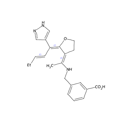 CC/C=C/C(=C1/OCC/C1=C(/C)NCc1cccc(C(=O)O)c1)c1cn[nH]c1